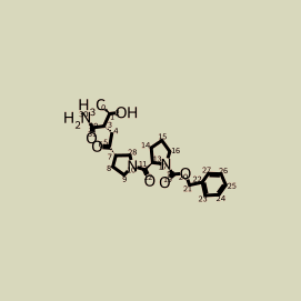 C[C@@H](O)[C@H](CC(=O)[C@H]1CCN(C(=O)[C@H]2CCCN2C(=O)OCc2ccccc2)C1)C(N)=O